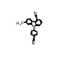 Cc1ccc2c3c(C#N)cccc3n(-c3ccc(C#N)cc3)c2c1